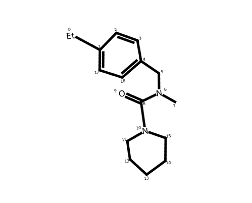 CCc1ccc(CN(C)C(=O)N2CCCCC2)cc1